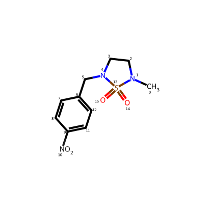 CN1CCN(Cc2ccc([N+](=O)[O-])cc2)S1(=O)=O